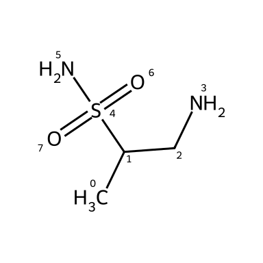 CC(CN)S(N)(=O)=O